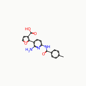 Cc1ccc(C(=O)Nc2ccc(-c3occc3C(=O)O)c(N)n2)cc1